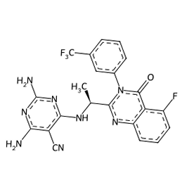 C[C@H](Nc1nc(N)nc(N)c1C#N)c1nc2cccc(F)c2c(=O)n1-c1cccc(C(F)(F)F)c1